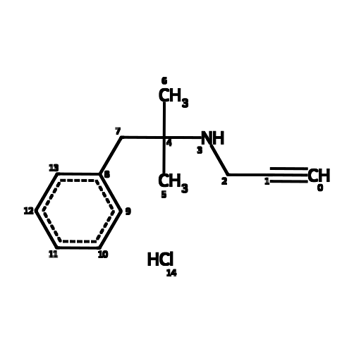 C#CCNC(C)(C)Cc1ccccc1.Cl